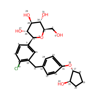 OC[C@H]1O[C@@H](c2ccc(Cl)c(Cc3ccc(O[C@@H]4CCC[C@H]4O)cc3)c2)[C@H](O)[C@@H](O)[C@@H]1O